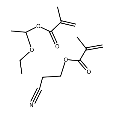 C=C(C)C(=O)OC(C)OCC.C=C(C)C(=O)OCCC#N